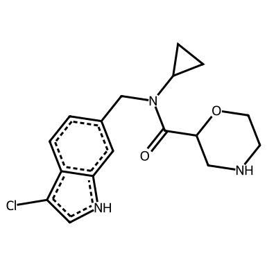 O=C(C1CNCCO1)N(Cc1ccc2c(Cl)c[nH]c2c1)C1CC1